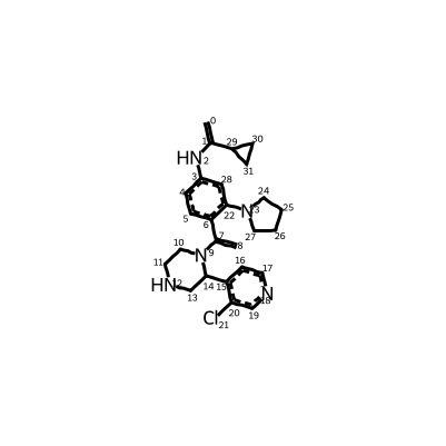 C=C(Nc1ccc(C(=C)N2CCNCC2c2ccncc2Cl)c(N2CCCC2)c1)C1CC1